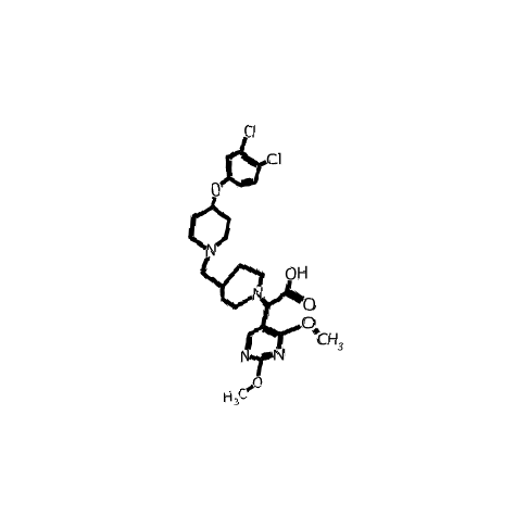 COc1ncc(C(C(=O)O)N2CCC(CN3CCC(Oc4ccc(Cl)c(Cl)c4)CC3)CC2)c(OC)n1